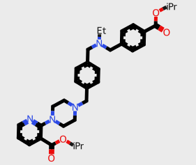 CCN(Cc1ccc(CN2CCN(c3ncccc3C(=O)OC(C)C)CC2)cc1)Cc1ccc(C(=O)OC(C)C)cc1